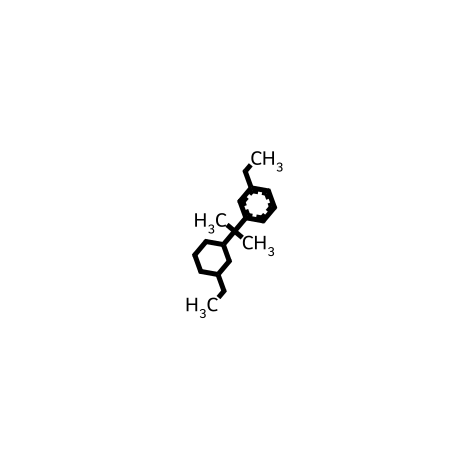 CCc1cccc(C(C)(C)C2CCCC(CC)C2)c1